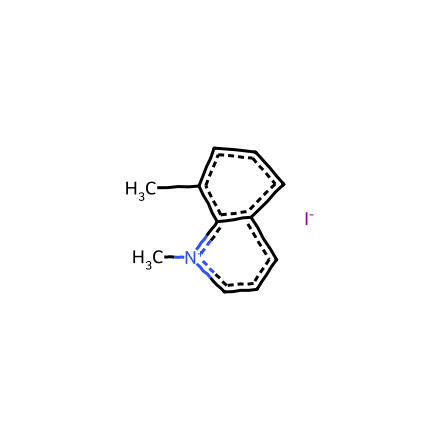 Cc1cccc2ccc[n+](C)c12.[I-]